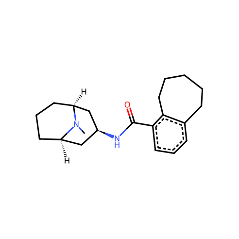 CN1[C@@H]2CCC[C@H]1C[C@@H](NC(=O)c1cccc3c1CCCCC3)C2